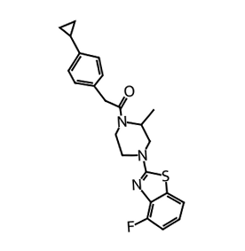 CC1CN(c2nc3c(F)cccc3s2)CCN1C(=O)Cc1ccc(C2CC2)cc1